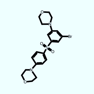 O=S(=O)(c1ccc(N2CCOCC2)cc1)c1cc(Br)cc(N2CCOCC2)c1